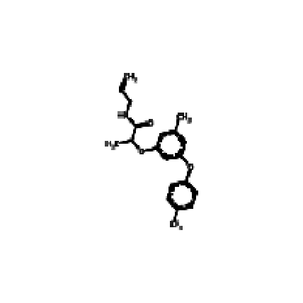 C=CCNC(=O)C(C)Oc1cc(C)cc(Oc2ccc(C(F)(F)F)cc2)c1